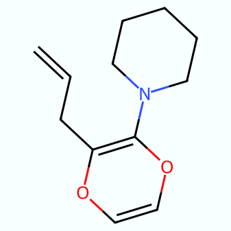 C=CCC1=C(N2CCCCC2)OC=CO1